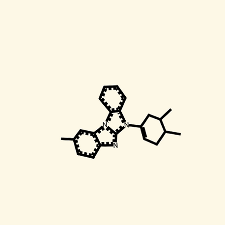 Cc1ccc2nc3n(C4=CCC(C)C(C)C4)c4ccccc4n3c2c1